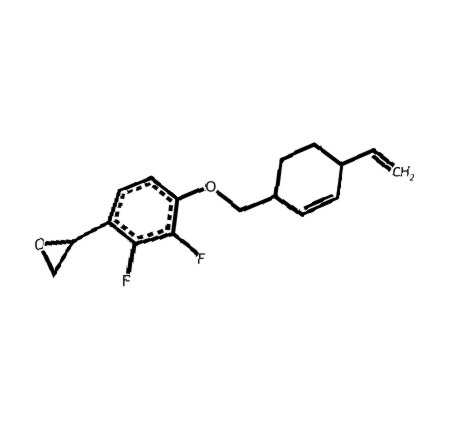 C=CC1C=CC(COc2ccc(C3CO3)c(F)c2F)CC1